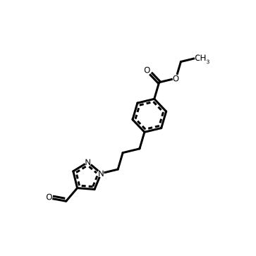 CCOC(=O)c1ccc(CCCn2cc(C=O)cn2)cc1